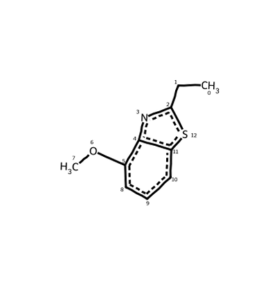 CCc1nc2c(OC)cccc2s1